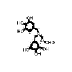 O=COCN(Cc1cc(O)c(O)c(O)c1)Cc1cc(O)c(O)c(O)c1